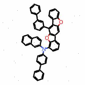 c1ccc(-c2ccc(N(c3ccc4ccccc4c3)c3cccc4c3oc3c(-c5cccc(-c6ccccc6)c5)c5c(cc34)oc3ccccc35)cc2)cc1